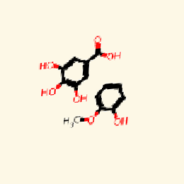 COc1ccccc1O.O=C(O)c1cc(O)c(O)c(O)c1